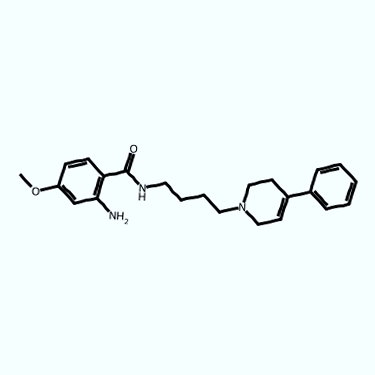 COc1ccc(C(=O)NCCCCN2CC=C(c3ccccc3)CC2)c(N)c1